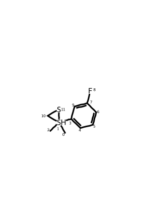 C[SH]1(C)(c2cccc(F)c2)CS1